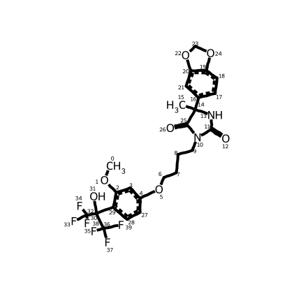 COc1cc(OCCCCN2C(=O)NC(C)(c3ccc4c(c3)OCO4)C2=O)ccc1C(O)(C(F)(F)F)C(F)(F)F